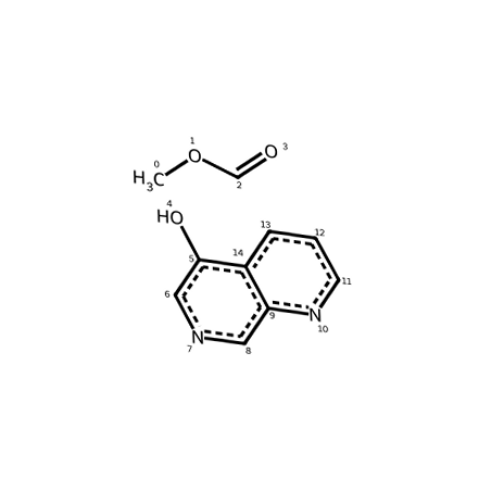 COC=O.Oc1cncc2ncccc12